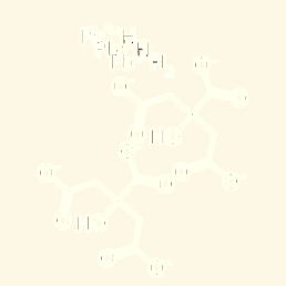 O=C([O-])CC(O)(CC(=O)[O-])C(=O)[O-].O=C([O-])CC(O)(CC(=O)[O-])C(=O)[O-].[PbH2+2].[PbH2+2].[PbH2+2]